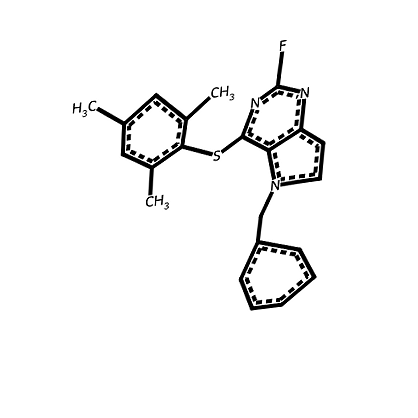 Cc1cc(C)c(Sc2nc(F)nc3ccn(Cc4ccccc4)c23)c(C)c1